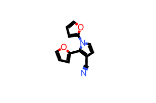 N#Cc1ccn(-c2ccco2)c1-c1ccco1